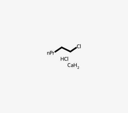 CCCCCCl.Cl.[CaH2]